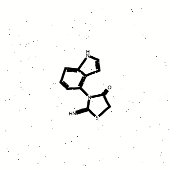 N=C1SCC(=O)N1c1cccc2[nH]ccc12